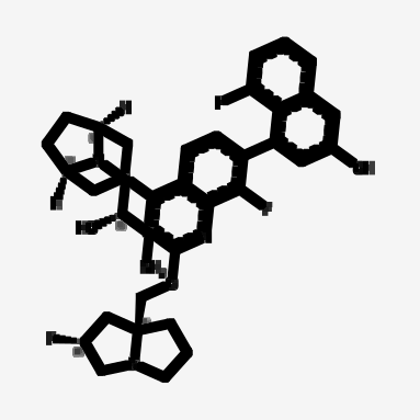 NC[C@H](O)CN1[C@@H]2CC[C@H]1CN(c1nc(OC[C@@]34CCCN3C[C@H](F)C4)nc3c(F)c(-c4cc(O)cc5cccc(F)c45)ccc13)C2